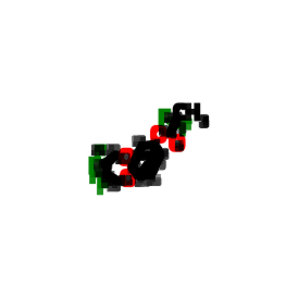 CC(F)(F)C(=O)OC12CC3CC(C1)C1(OCC(F)(F)C(F)(F)CO1)C(C3)C2